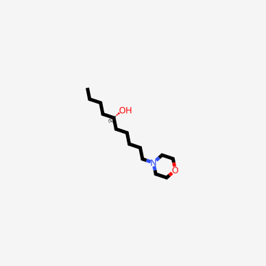 CCCC[C@H](O)CCCCCN1CCOCC1